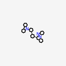 c1cc(-c2cccc(-n3c4ccccc4c4ccccc43)c2)cc(-c2cc3ccccc3n3c2nc2ccccc23)c1